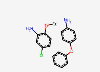 CCOc1ccc(Cl)cc1N.Nc1ccc(Oc2ccccc2)cc1